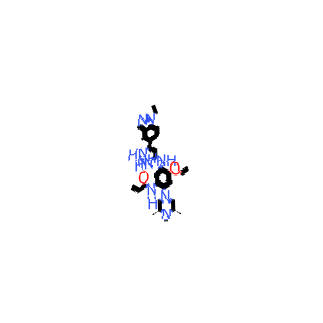 C=CC(=O)Nc1cc(NC(=N)/C=C(\NN)c2ccc3c(cnn3CC)c2)c(OCC)cc1N1C[C@@H](C)N(C)[C@@H](C)C1